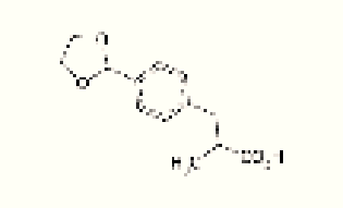 CC(Cc1ccc(C2OCCO2)cc1)C(=O)O